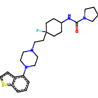 O=C(NC1CCC(F)(CCN2CCN(c3cccc4sccc34)CC2)CC1)N1CCCC1